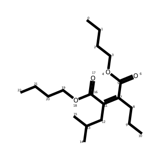 CCCCOC(=O)C(CCC)=C(CC(C)C)C(=O)OCCCC